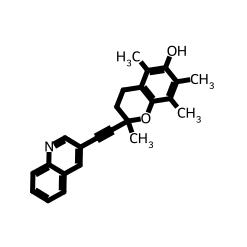 Cc1c(C)c2c(c(C)c1O)CCC(C)(C#Cc1cnc3ccccc3c1)O2